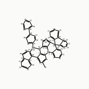 Cc1cc2c3c(c1)N1c4ccccc4C4(c5ccccc5-c5ccccc54)c4cccc(c41)B3N(c1ccc(-c3ccccc3)cc1)c1ccc3ccccc3c1-2